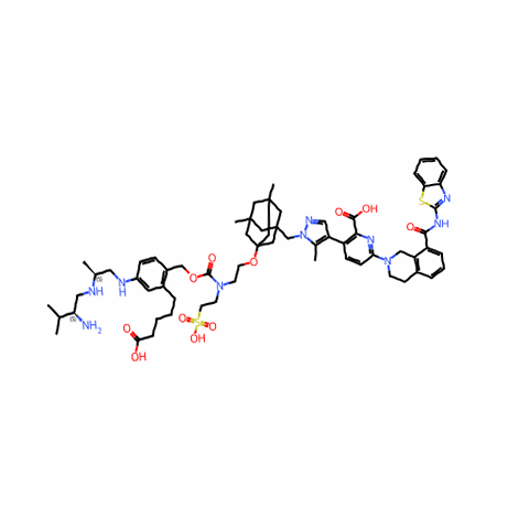 Cc1c(-c2ccc(N3CCc4cccc(C(=O)Nc5nc6ccccc6s5)c4C3)nc2C(=O)O)cnn1CC12CC3(C)CC(C)(C1)CC(OCCN(CCS(=O)(=O)O)C(=O)OCc1ccc(NC[C@H](C)NC[C@@H](N)C(C)C)cc1CCCCC(=O)O)(C3)C2